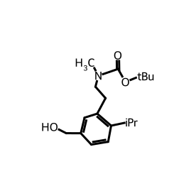 CC(C)c1ccc(CO)cc1CCN(C)C(=O)OC(C)(C)C